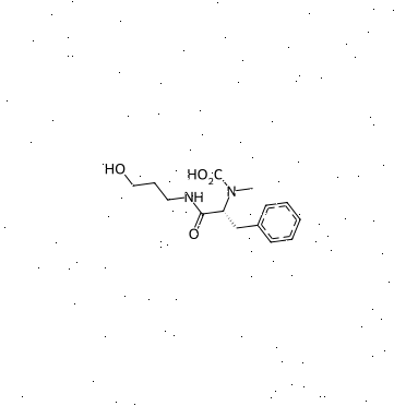 CN(C(=O)O)[C@H](Cc1ccccc1)C(=O)NCCCO